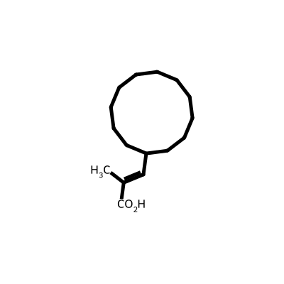 C/C(=C\C1CCCCCCCCCCC1)C(=O)O